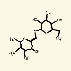 NC1OC(COC2OC(CO)C(O)C(O)C2O)C(O)C(O)C1N